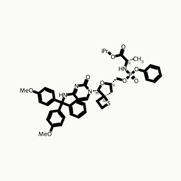 COc1ccc(C(Nc2ccn([C@@H]3O[C@H](COP(=O)(N[C@@H](C)C(=O)OC(C)C)Oc4ccccc4)C[C@]34CCS4)c(=O)n2)(c2ccccc2)c2ccc(OC)cc2)cc1